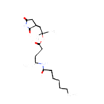 CCCCCCCCCCCCCCCC(=O)N[C@@H](CCC(=O)OC(C)(C)CC1CC(=O)NC1=O)C(=O)O